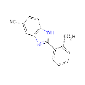 N#Cc1ccc2[nH]c(-c3ccccc3C(=O)O)nc2c1